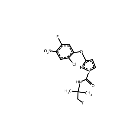 CC(C)(CF)NC(=O)n1ccc(Oc2cc(F)c([N+](=O)[O-])cc2Cl)n1